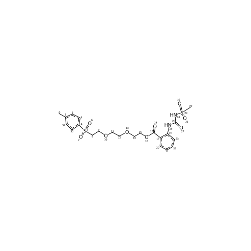 Cc1ccc(S(=O)(=O)CCOCCOCCOC(=O)c2ccccc2NC(=O)NS(C)(=O)=O)cc1